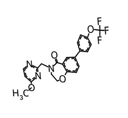 COc1ccnc(CN2CCOc3ccc(-c4ccc(OC(F)(F)F)cc4)cc3C2=O)n1